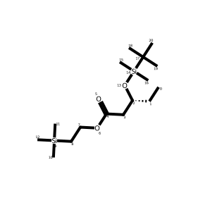 CC[C@H](CC(=O)OCC[Si](C)(C)C)O[Si](C)(C)C(C)(C)C